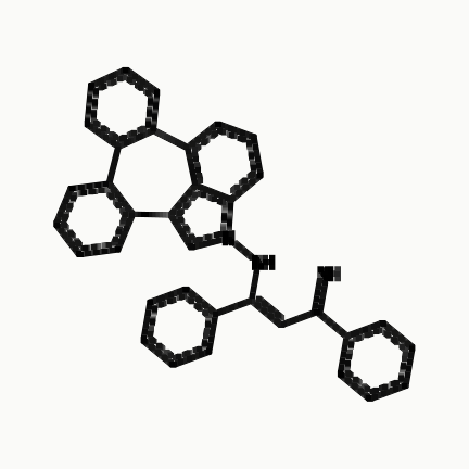 N=C(/C=C(\Nn1cc2c3c(cccc31)-c1ccccc1-c1ccccc1-2)c1ccccc1)c1ccccc1